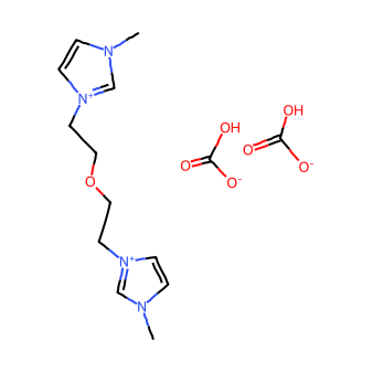 Cn1cc[n+](CCOCC[n+]2ccn(C)c2)c1.O=C([O-])O.O=C([O-])O